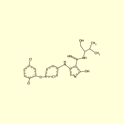 CC(C)C(CO)NC(=N)c1c(O)nsc1Nc1ccc(Oc2cc(Cl)ccc2Cl)cc1